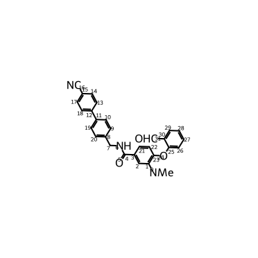 CNc1cc(C(=O)NCc2ccc(-c3ccc(C#N)cc3)cc2)ccc1Oc1ccccc1C=O